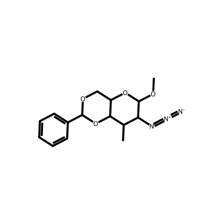 COC1OC2COC(c3ccccc3)OC2C(C)C1N=[N+]=[N-]